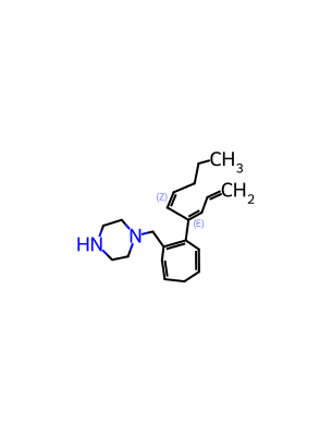 C=C/C=C(\C=C/CCC)C1=C(CN2CCNCC2)C=CCC=C1